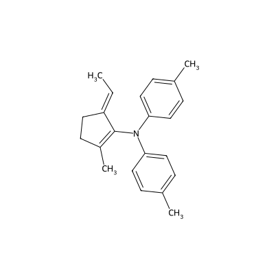 C/C=C1\CCC(C)=C1N(c1ccc(C)cc1)c1ccc(C)cc1